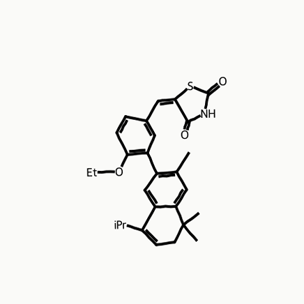 CCOc1ccc(C=C2SC(=O)NC2=O)cc1-c1cc2c(cc1C)C(C)(C)CC=C2C(C)C